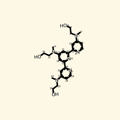 CN(CCO)c1ccnc(-c2cc(N(C)CCO)cc(-c3cc(N(C)CCO)ccn3)n2)c1